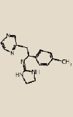 Cc1ccc(C(Cc2cnccn2)N=C2NCCN2)cc1